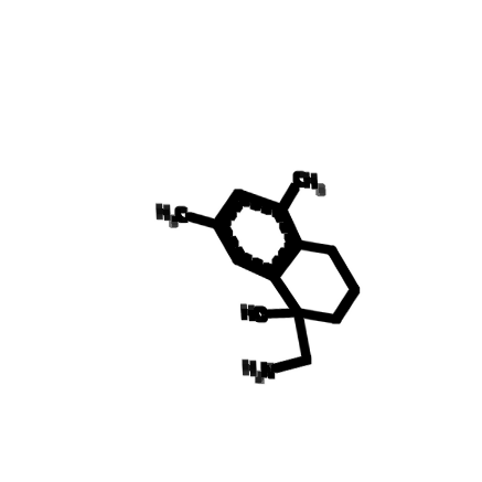 Cc1cc(C)c2c(c1)C(O)(CN)CCC2